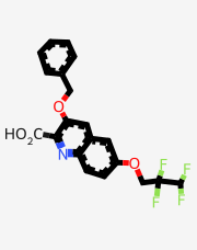 O=C(O)c1nc2ccc(OCC(F)(F)C(F)F)cc2cc1OCc1ccccc1